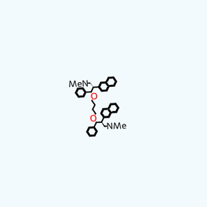 CNC[C@H](c1ccc2ccccc2c1)[C@H](OCCCCO[C@H](c1ccccc1)[C@H](CNC)c1ccc2ccccc2c1)c1ccccc1